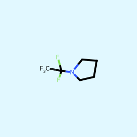 FC(F)(F)C(F)(F)N1CCCC1